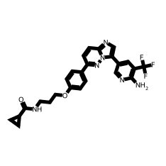 Nc1ncc(-c2cnc3ccc(-c4ccc(OCCCNC(=O)C5CC5)cc4)nn23)cc1C(F)(F)F